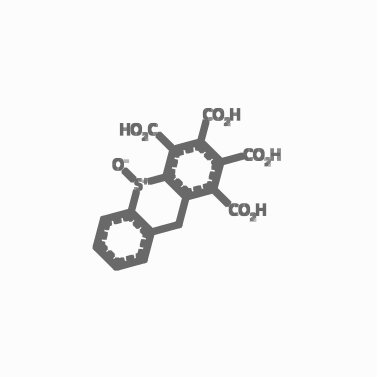 O=C(O)c1c2c(c(C(=O)O)c(C(=O)O)c1C(=O)O)[S+]([O-])c1ccccc1C2